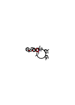 C=C1/N=C2\Nc3ccc(CN4CC5CC(C4)N5C(=C)C4CCN(c5cc(F)cc(F)c5)C4)cc3N2C[C@H](C)CCCCc2c(cnn2C)-c2cc1cc(C)n2